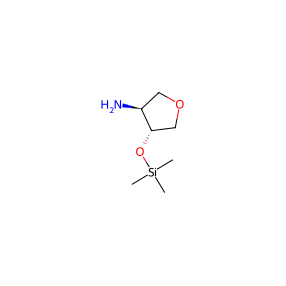 C[Si](C)(C)O[C@H]1COC[C@@H]1N